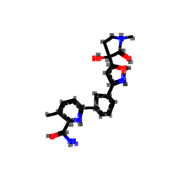 Cc1ccc(-c2cccc(-c3cc(C4(O)CCN(C)C4=O)on3)c2)nc1C(N)=O